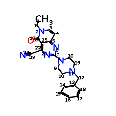 CCn1ccc2nc(N3CCN(Cc4ccccc4)CC3)nc(C#N)c2c1=O